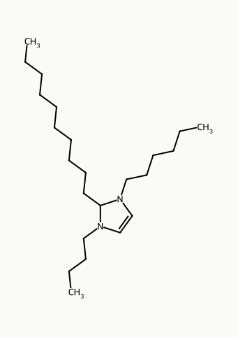 CCCCCCCCCCC1N(CCCC)C=CN1CCCCCC